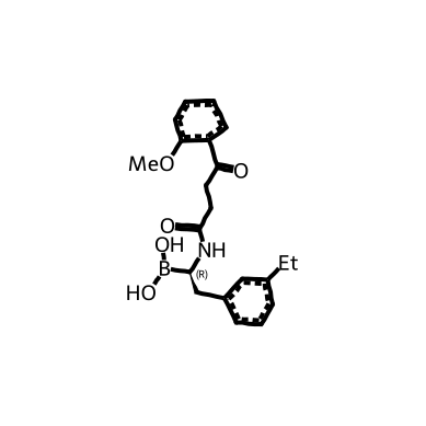 CCc1cccc(C[C@H](NC(=O)CCC(=O)c2ccccc2OC)B(O)O)c1